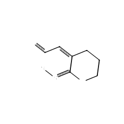 C=C/C=C1/CCCO/C1=N/N